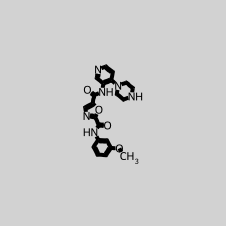 COc1cccc(NC(=O)c2ncc(C(=O)Nc3cnccc3N3CCNCC3)o2)c1